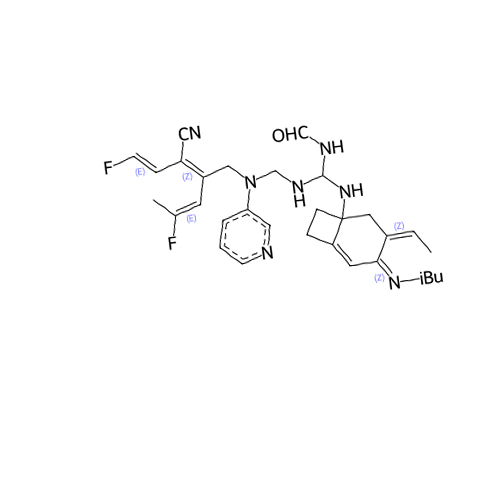 C/C=C1/CC2(NC(NC=O)NCN(CC(/C=C(\C)F)=C(C#N)/C=C/F)c3cccnc3)CCC2=C/C1=N/C(C)CC